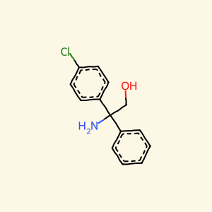 NC(CO)(c1ccccc1)c1ccc(Cl)cc1